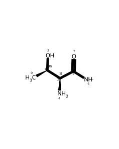 C[C@@H](O)[C@H](N)C([NH])=O